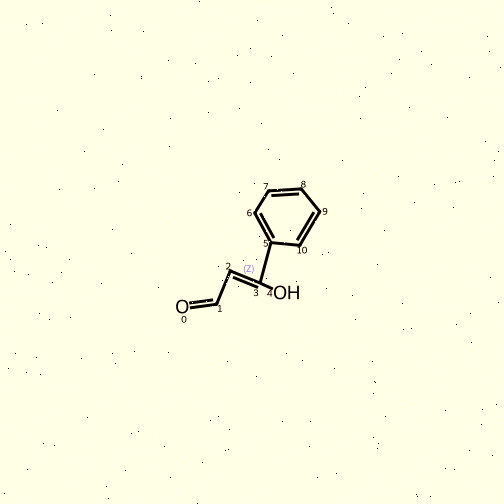 O=C/C=C(\O)c1ccccc1